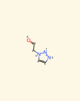 O=[C]Cn1ccnn1